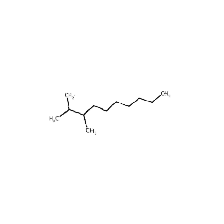 [CH2]C(C)C(C)CCCCCCC